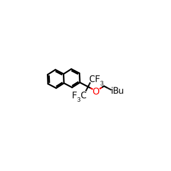 CCC(C)COC(c1ccc2ccccc2c1)(C(F)(F)F)C(F)(F)F